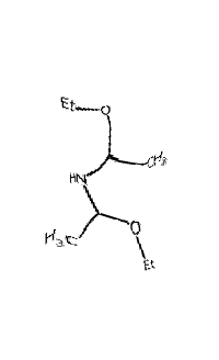 CCOC(C)NC(C)OCC